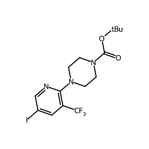 CC(C)(C)OC(=O)N1CCN(c2ncc(I)cc2C(F)(F)F)CC1